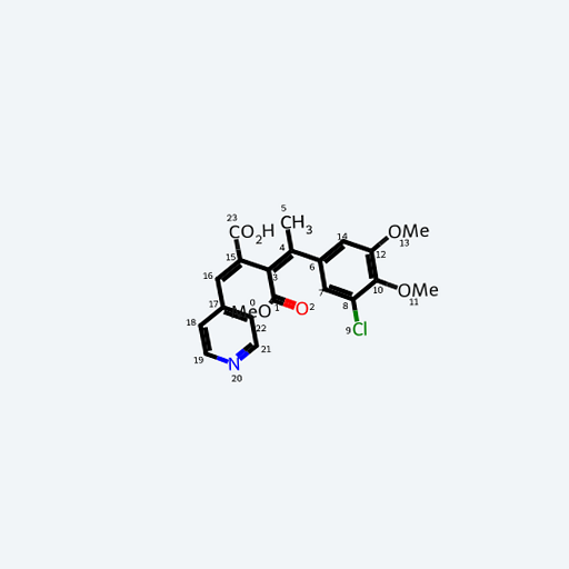 COC(=O)C(=C(/C)c1cc(Cl)c(OC)c(OC)c1)/C(=C\c1ccncc1)C(=O)O